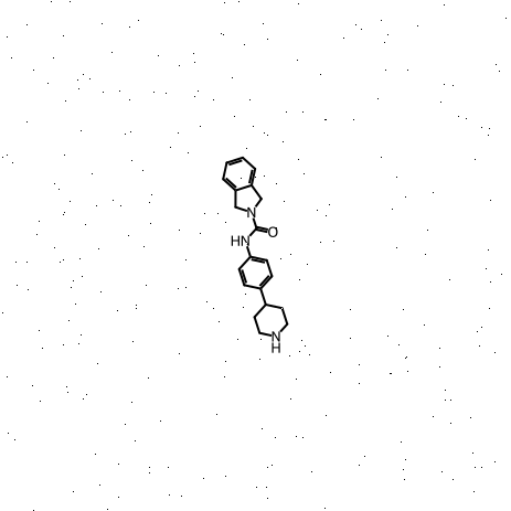 O=C(Nc1ccc(C2CCNCC2)cc1)N1Cc2ccccc2C1